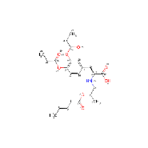 CCCCC(=O)OC(C)CN[C@@H](Cc1ccc(OC(=O)CC)c(OC(=O)CC)c1)C(=O)O